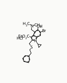 CCOC(=O)c1c(CSCCc2ccccc2)n(C2CC2)c2cc(Br)c(O)c(CN(C)C)c12.Cl